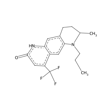 CCCN1c2cc3c(C(F)(F)F)cc(=O)[nH]c3cc2CCC1C